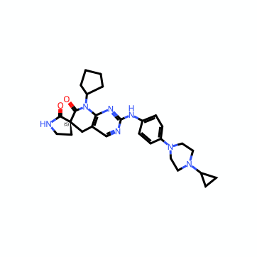 O=C1NCC[C@@]12Cc1cnc(Nc3ccc(N4CCN(C5CC5)CC4)cc3)nc1N(C1CCCC1)C2=O